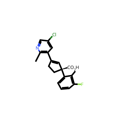 Cc1ncc(Cl)cc1C1=C[C@](C(=O)O)(c2cccc(F)c2C)CC1